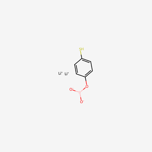 [Li+].[Li+].[O-]B([O-])Oc1ccc(S)cc1